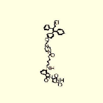 O=C1CCC(N2Cc3c(NCCCCCC(=O)N4CCN(CCOc5ccc(/C(=C(/CCCl)c6ccccc6)c6ccccc6)cc5)CC4)cccc3C2=O)C(=O)N1